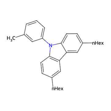 CCCCCCc1ccc2c(c1)c1cc(CCCCCC)ccc1n2-c1cccc(C)c1